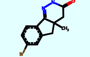 CC12CC(=O)NN=C1c1ccc(Br)cc1C2